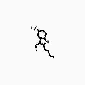 Cc1ccc2[nH]c(CCCI)c(C=O)c2c1